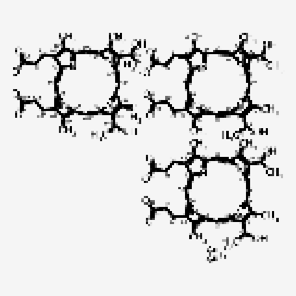 CC1=C(CCC(=O)[O-])c2cc3[nH]c(cc4nc(cc5[nH]c(cc1n2)c(C)c5C(C)O)C(C)=C4C(C)O)c(C)c3CCC(=O)[O-].CC1=C(CCC(=O)[O-])c2cc3[nH]c(cc4nc(cc5[nH]c(cc1n2)c(C)c5C(C)O)C(C)=C4C(C)O)c(C)c3CCC(=O)[O-].CC1=C(CCC(=O)[O-])c2cc3[nH]c(cc4nc(cc5[nH]c(cc1n2)c(C)c5C(C)O)C(C)=C4C(C)O)c(C)c3CCC(=O)[O-].[Au+3].[Au+3]